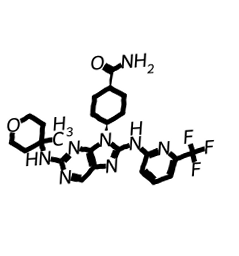 CC1(Nc2ncc3nc(Nc4cccc(C(F)(F)F)n4)n([C@H]4CC[C@H](C(N)=O)CC4)c3n2)CCOCC1